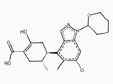 Cc1c(Cl)cc2c(cnn2C2CCCCO2)c1[C@@H]1CC(O)=C(C(=O)O)C[C@H]1C